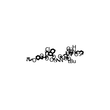 CN(C)CCOc1ccc2oc(C(=O)N3C[C@@H](Cl)c4c3cc(OC(=O)N(C)CCN(C)C(=O)OCC3=C(C(=O)OC(C)(C)C)N5C[C@@H](NC(=O)Cc6cccs6)[C@H]5[S+]([O-])C3)c3ccccc43)cc2c1